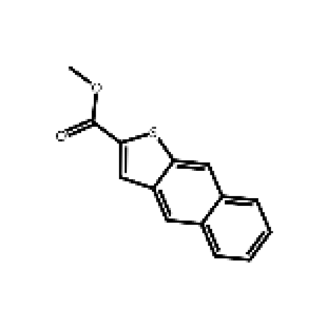 COC(=O)c1cc2cc3ccccc3cc2s1